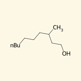 CCCCCCCC(C)CCO